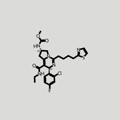 CCNC(=O)C1=C2C[C@H](NC(=O)OC)CN2C(CCCCc2nccs2)=N[C@H]1c1ccc(F)cc1Cl